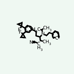 CC#N.CCC(CCc1ccc(C2(F)CC2)c(C2(F)CC2)c1)N(CCc1ccccc1)C(C)C